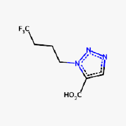 O=C(O)c1cnnn1CCCC(F)(F)F